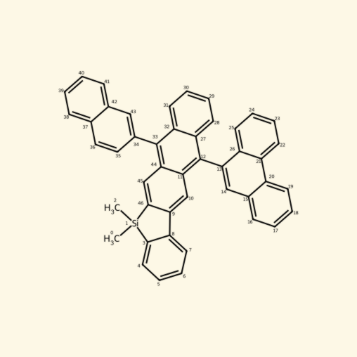 C[Si]1(C)c2ccccc2-c2cc3c(-c4cc5ccccc5c5ccccc45)c4ccccc4c(-c4ccc5ccccc5c4)c3cc21